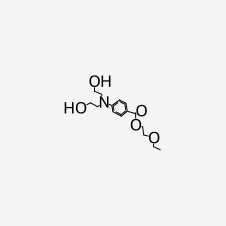 CCOCCOC(=O)c1ccc(N(CCO)CCO)cc1